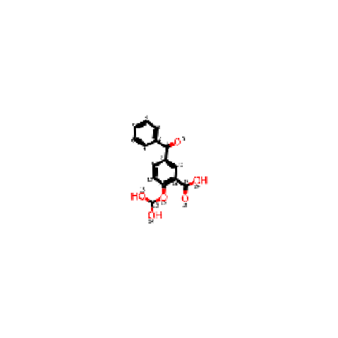 O=C(c1ccccc1)c1ccc(OC(O)O)c(C(=O)O)c1